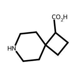 O=C(O)C1CCC12CCNCC2